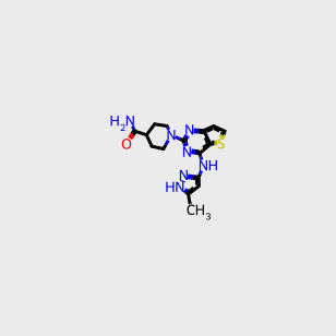 Cc1cc(Nc2nc(N3CCC(C(N)=O)CC3)nc3ccsc23)n[nH]1